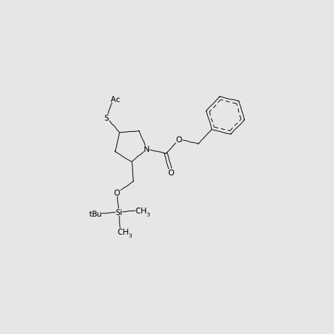 CC(=O)SC1CC(CO[Si](C)(C)C(C)(C)C)N(C(=O)OCc2ccccc2)C1